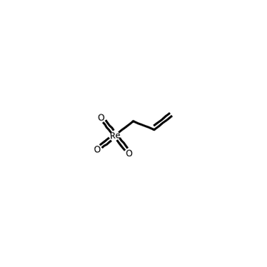 C=C[CH2][Re](=[O])(=[O])=[O]